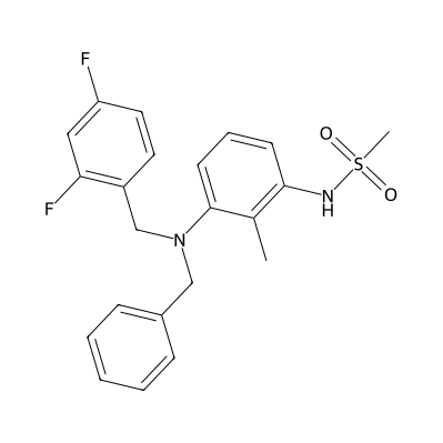 Cc1c(NS(C)(=O)=O)cccc1N(Cc1ccccc1)Cc1ccc(F)cc1F